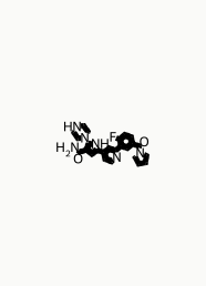 NC(=O)c1cc(-c2ccnc(-c3cc(C(=O)N4CCCC4)ccc3F)c2)[nH]c1N1CCNCC1